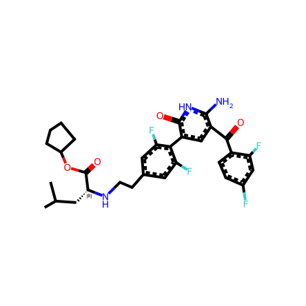 CC(C)C[C@@H](NCCc1cc(F)c(-c2cc(C(=O)c3ccc(F)cc3F)c(N)[nH]c2=O)c(F)c1)C(=O)OC1CCCC1